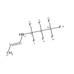 CC=CNC(F)(F)C(F)(F)C(F)(F)F